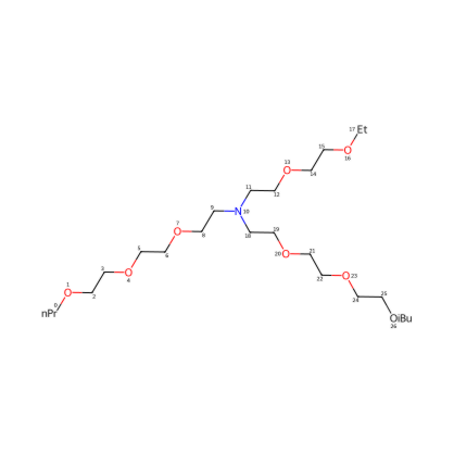 CCCOCCOCCOCCN(CCOCCOCC)CCOCCOCCOCC(C)C